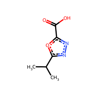 CC(C)c1nnc(C(=O)O)o1